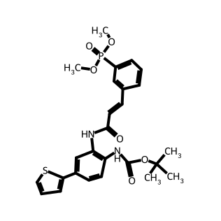 COP(=O)(OC)c1cccc(/C=C/C(=O)Nc2cc(-c3cccs3)ccc2NC(=O)OC(C)(C)C)c1